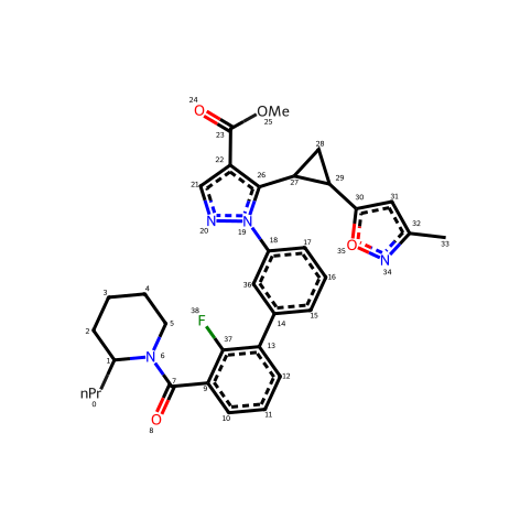 CCCC1CCCCN1C(=O)c1cccc(-c2cccc(-n3ncc(C(=O)OC)c3C3CC3c3cc(C)no3)c2)c1F